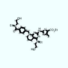 CCOC(=O)c1sc(Nc2nc(N(CC)CCO)c3c(n2)N(Cc2ccc(C(=O)N(CC)CCO)cc2)CCC3)nc1C